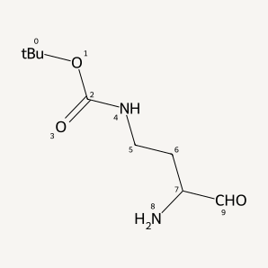 CC(C)(C)OC(=O)NCCC(N)C=O